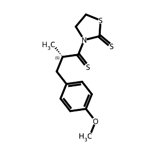 COc1ccc(C[C@H](C)C(=S)N2CCSC2=S)cc1